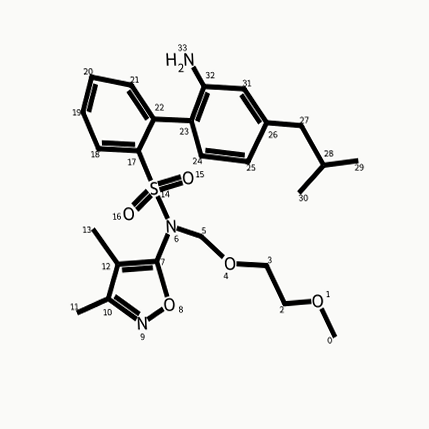 COCCOCN(c1onc(C)c1C)S(=O)(=O)c1ccccc1-c1ccc(CC(C)C)cc1N